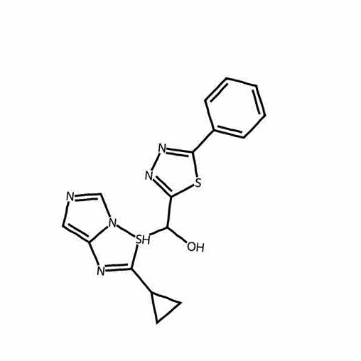 OC(c1nnc(-c2ccccc2)s1)[SH]1C(C2CC2)=Nc2cncn21